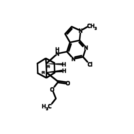 CCOC(=O)[C@@H]1C2CCC(CC2)[C@H]1Nc1nc(Cl)nc2c1ccn2C